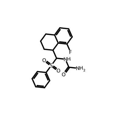 NC(=O)NC(C1CCCc2cccc(F)c21)S(=O)(=O)c1ccccc1